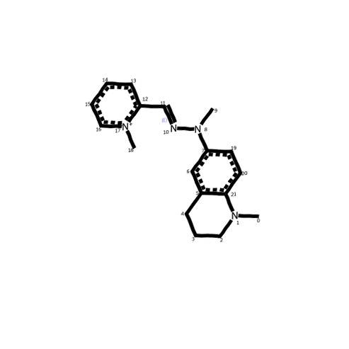 CN1CCCc2cc(N(C)/N=C/c3cccc[n+]3C)ccc21